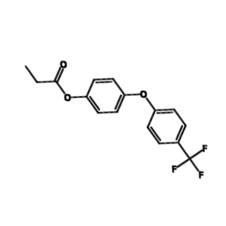 CCC(=O)Oc1ccc(Oc2ccc(C(F)(F)F)cc2)cc1